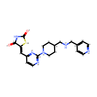 O=C1NC(=O)C(=Cc2ccnc(N3CCC(CNCc4ccncc4)CC3)n2)S1